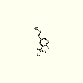 CCS(=O)(=O)c1cc(/C=N/O)cnc1C